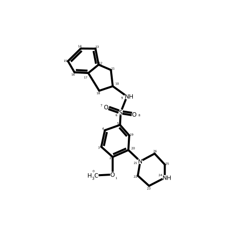 COc1ccc(S(=O)(=O)NC2Cc3ccccc3C2)cc1N1CCNCC1